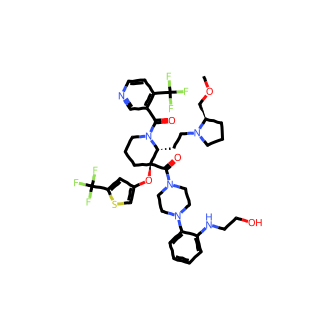 COC[C@H]1CCCN1CC[C@H]1N(C(=O)c2cnccc2C(F)(F)F)CCC[C@@]1(Oc1csc(C(F)(F)F)c1)C(=O)N1CCN(c2ccccc2NCCO)CC1